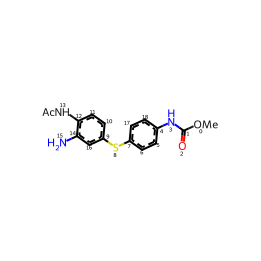 COC(=O)Nc1ccc(Sc2ccc(NC(C)=O)c(N)c2)cc1